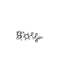 Cc1cccc(Cc2cccc(C(=O)CC(=O)C(=O)O)c2)c1F